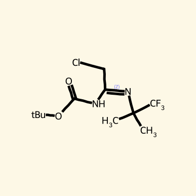 CC(C)(C)OC(=O)N/C(CCl)=N\C(C)(C)C(F)(F)F